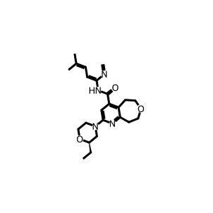 C=N/C(=C\C=C(C)C)NC(=O)c1cc(N2CCO[C@H](CC)C2)nc2c1CCOCC2